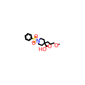 COCCCC1(C(=O)O)CCN(S(=O)(=O)c2ccccc2)CC1